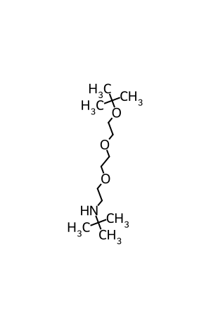 CC(C)(C)NCCOCCOCCOC(C)(C)C